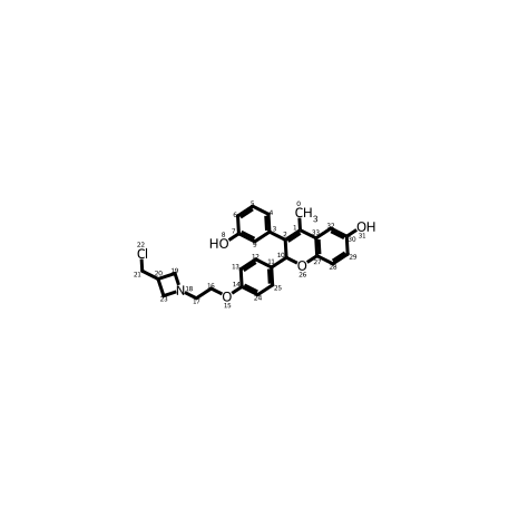 CC1=C(c2cccc(O)c2)C(c2ccc(OCCN3CC(CCl)C3)cc2)Oc2ccc(O)cc21